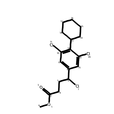 COC(=O)CCC(Cl)c1cc(Cl)c(C2CCCCC2)c(Cl)c1